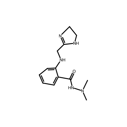 CN(C)NC(=O)c1ccccc1NCC1=NCCN1